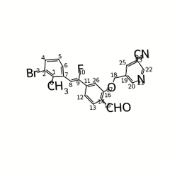 Cc1c(Br)cccc1C=C(F)c1ccc(C=O)c(OCc2cncc(C#N)c2)c1